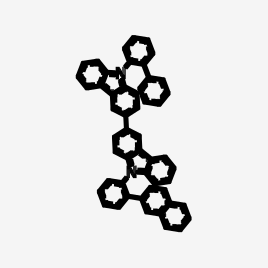 c1ccc(-c2ccccc2-n2c3ccccc3c3cc(-c4ccc5c(c4)c4ccccc4n5-c4ccccc4-c4ccc5ccccc5c4)ccc32)cc1